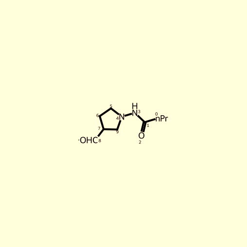 CCCC(=O)NN1CCC([C]=O)C1